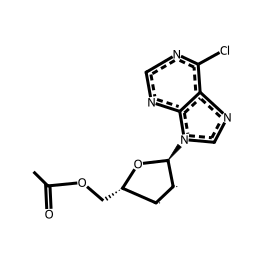 CC(=O)OC[C@H]1[CH][CH][C@H](n2cnc3c(Cl)ncnc32)O1